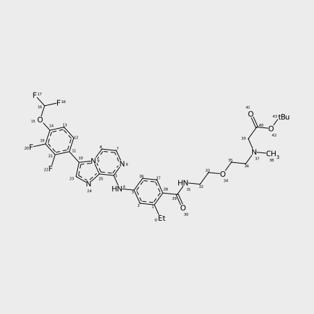 CCc1cc(Nc2nccn3c(-c4ccc(OC(F)F)c(F)c4F)cnc23)ccc1C(=O)NCCOCCN(C)CC(=O)OC(C)(C)C